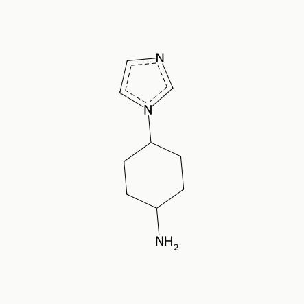 NC1CCC(n2ccnc2)CC1